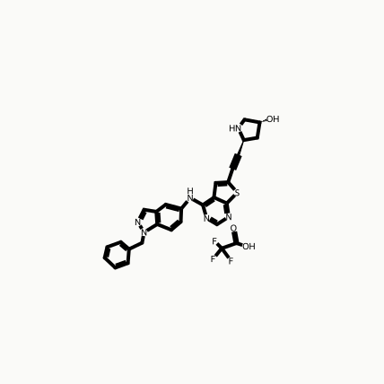 O=C(O)C(F)(F)F.O[C@H]1CN[C@H](C#Cc2cc3c(Nc4ccc5c(cnn5Cc5ccccc5)c4)ncnc3s2)C1